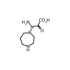 NN(C(=O)C(=O)O)N1CCCNCC1